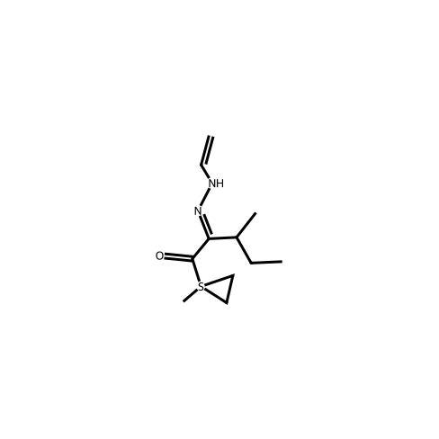 C=CN/N=C(/C(=O)S1(C)CC1)C(C)CC